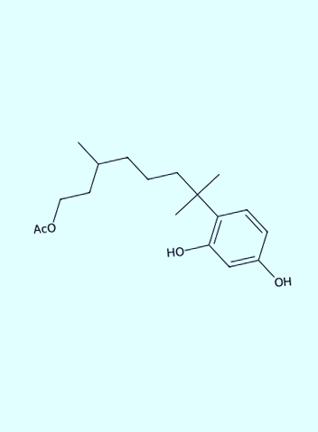 CC(=O)OCCC(C)CCCC(C)(C)c1ccc(O)cc1O